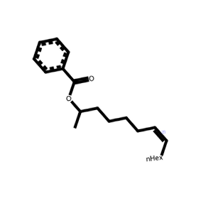 CCCCCC/C=C\CCCCC(C)OC(=O)c1ccccc1